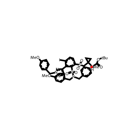 COc1ccc(CN(Cc2ccc(OC)cc2)S(=O)(=O)c2c(S(=O)(=O)CC3(NC(=O)OC(C)(C)C)CC3)ccc(I)c2-c2nnn(Cc3ccc(OC)cc3)n2)cc1